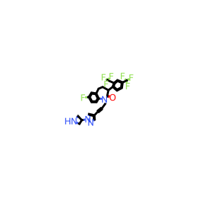 O=C1C(c2ccc(C(F)(F)F)cc2C(F)(F)F)CCc2cc(F)ccc2N1CC#Cc1cnn(C2CNC2)c1